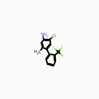 Cc1cc(N)c(Cl)cc1-c1ccccc1C(F)(F)F